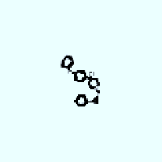 OC1(c2ccc(Oc3ccccc3)cc2)CCN(C[C@@H]2C[C@H]2c2ccccc2)CC1